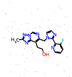 Cc1nc2c(CCO)c(Cn3ccnc3-c3ncccc3F)ncn2n1